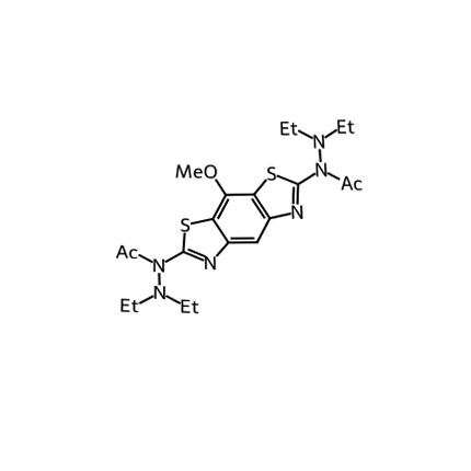 CCN(CC)N(C(C)=O)c1nc2cc3nc(N(C(C)=O)N(CC)CC)sc3c(OC)c2s1